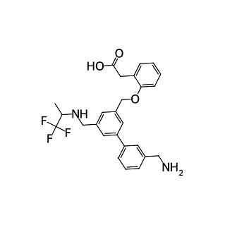 CC(NCc1cc(COc2ccccc2CC(=O)O)cc(-c2cccc(CN)c2)c1)C(F)(F)F